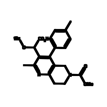 COC(=O)N1CCc2nc(C)c(C(OC(C)(C)C)C(=O)O)c(-c3ccc(C)cc3)c2C1